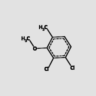 COc1c(C)ccc(Cl)c1Cl